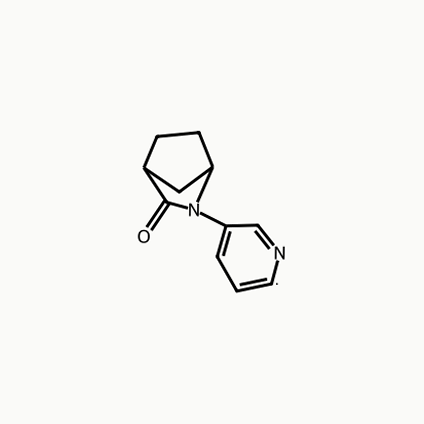 O=C1C2CCC(C2)N1c1cc[c]nc1